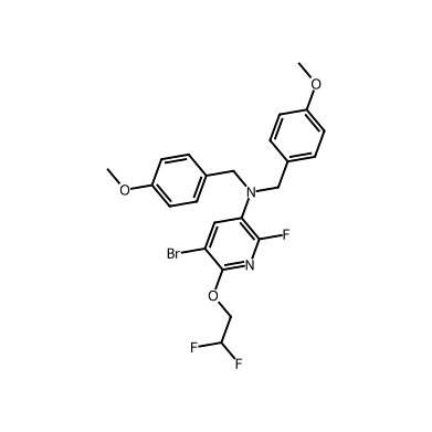 COc1ccc(CN(Cc2ccc(OC)cc2)c2cc(Br)c(OCC(F)F)nc2F)cc1